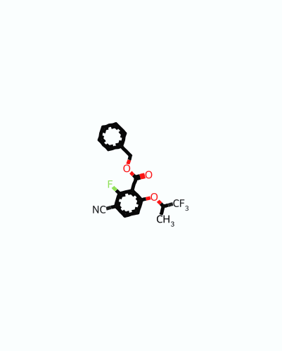 CC(Oc1ccc(C#N)c(F)c1C(=O)OCc1ccccc1)C(F)(F)F